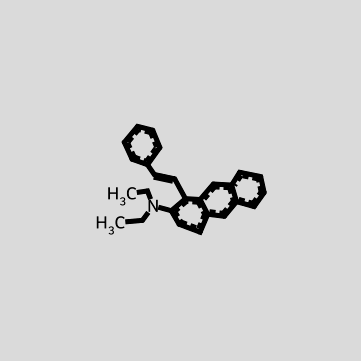 CCN(CC)c1ccc2cc3ccccc3cc2c1C=Cc1ccccc1